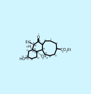 CCOC(=O)C1CCCC2C(=O)[C@H](CC)[C@@H]3C[C@H](O)CC[C@]3(C)C2CCC1